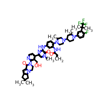 C=CC(=O)Nc1cc(Nc2nc(-c3ccnc(N4CCn5c(cc6c5CC(C)(C)C6)C4=O)c3CO)cn(C)c2=O)ccc1N1CCN(C2CCN(c3ccc(F)c(C(C)(C)C(F)(F)F)c3)[C@H](C)C2)C[C@@H]1C